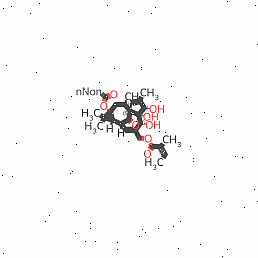 C/C=C(/C)C(=O)OCC1=C[C@@H]2C(=O)[C@]3(C=C(C)[C@H](O)[C@@]3(O)[C@@H]1O)[C@H](C)C[C@]1(OC(=O)CCCCCCCCC)[C@H]2C1(C)C